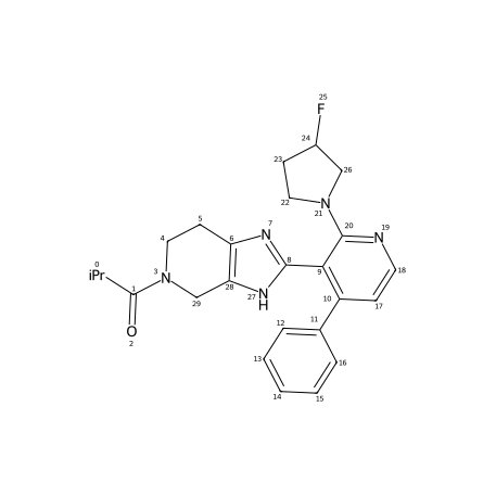 CC(C)C(=O)N1CCc2nc(-c3c(-c4ccccc4)ccnc3N3CCC(F)C3)[nH]c2C1